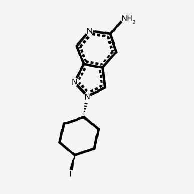 Nc1cc2cn([C@H]3CC[C@H](I)CC3)nc2cn1